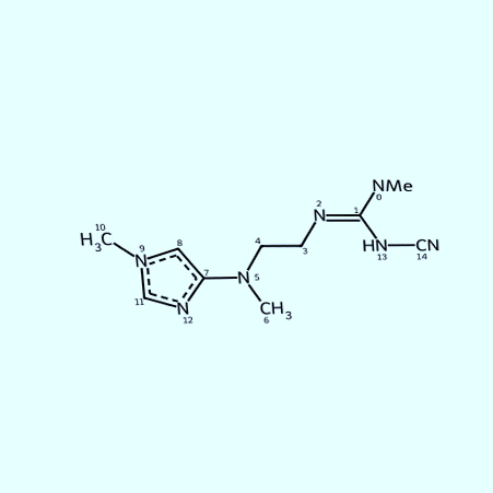 CNC(=NCCN(C)c1cn(C)cn1)NC#N